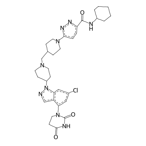 O=C1CCN(c2cc(Cl)cc3c2cnn3C2CCN(CC3CCN(c4ccc(C(=O)NC5CCCCC5)nn4)CC3)CC2)C(=O)N1